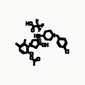 CC(=O)OOc1ccc(C)c(C)c1N1C[C@H](NC2CCN(Cc3ccc(Cl)cc3)CC2)[C@@H](O)C1.O=C(O)C(F)(F)F